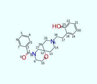 O=C(c1ccccc1)N1CCOC2(CCN(CCc3ccccc3O)CC2)C1